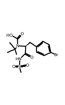 CC(C)(C)N(C(=O)O)[C@@H](Cc1ccc(Br)cc1)C(=O)NS(C)(=O)=O